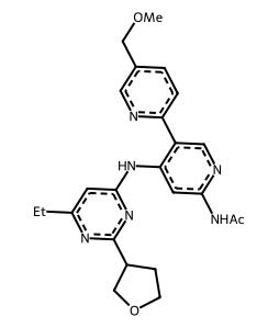 CCc1cc(Nc2cc(NC(C)=O)ncc2-c2ccc(COC)cn2)nc(C2CCOC2)n1